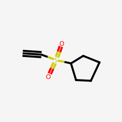 C#CS(=O)(=O)C1CCCC1